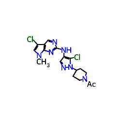 CC(=O)N1CCC(n2ncc(Nc3ncc4c(Cl)cn(C)c4n3)c2Cl)CC1